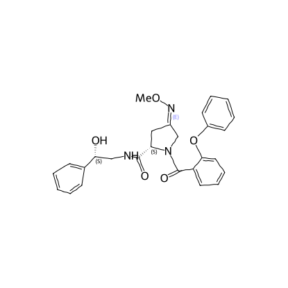 CO/N=C1\C[C@@H](C(=O)NC[C@@H](O)c2ccccc2)N(C(=O)c2ccccc2Oc2ccccc2)C1